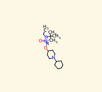 CCN(/[N+]([O-])=N/OC1CCN(C2CCCCC2)CC1)C(C)(C)C